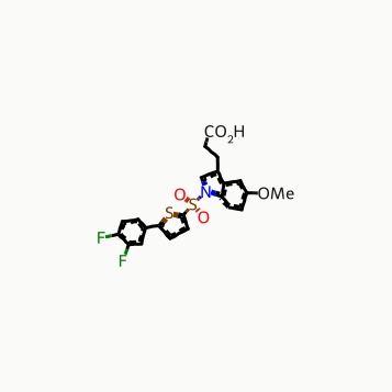 COc1ccc2c(c1)c(CCC(=O)O)cn2S(=O)(=O)c1ccc(-c2ccc(F)c(F)c2)s1